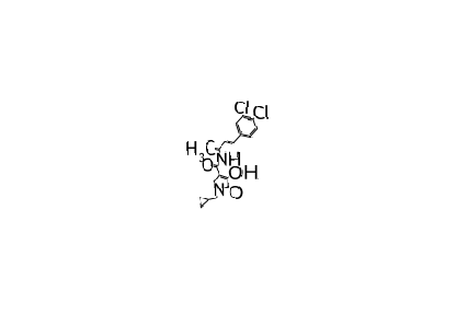 CC(CCc1ccc(Cl)c(Cl)c1)NC(=O)C1=C(O)C(=O)N(CC2CC2)C1